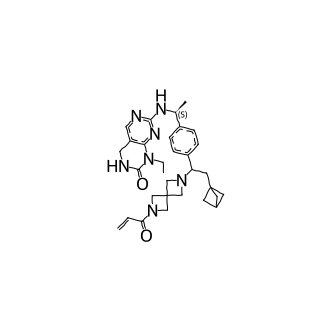 C=CC(=O)N1CC2(C1)CN(C(CC13CC(C1)C3)c1ccc([C@H](C)Nc3ncc4c(n3)N(CC)C(=O)NC4)cc1)C2